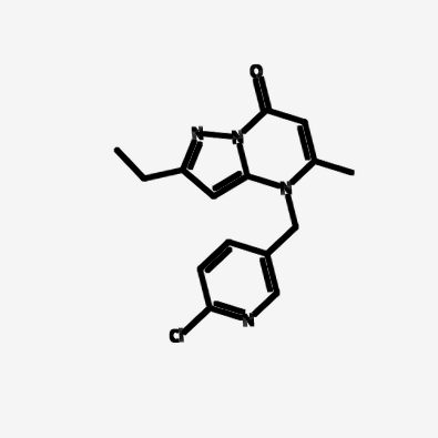 CCc1cc2n(Cc3ccc(Cl)nc3)c(C)cc(=O)n2n1